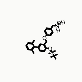 Cc1cccc(C)c1-c1ccc(O[Si](C)(C)C(C)(C)C)c(COc2ccc(CNO)cc2)c1